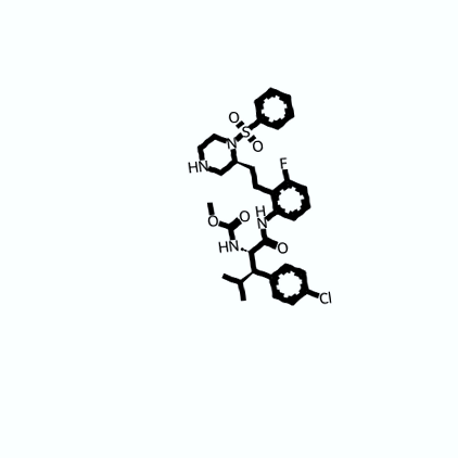 COC(=O)N[C@H](C(=O)Nc1cccc(F)c1CC[C@H]1CNCCN1S(=O)(=O)c1ccccc1)[C@@H](c1ccc(Cl)cc1)C(C)C